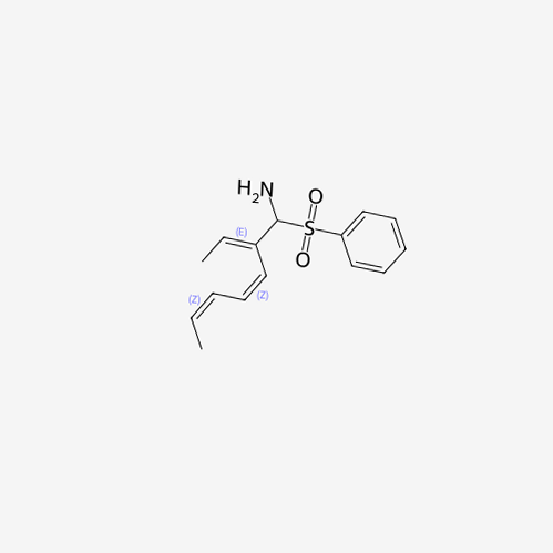 C\C=C/C=C\C(=C/C)C(N)S(=O)(=O)c1ccccc1